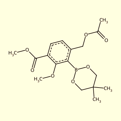 COC(=O)c1ccc(COC(C)=O)c(B2OCC(C)(C)CO2)c1OC